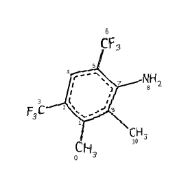 Cc1c(C(F)(F)F)cc(C(F)(F)F)c(N)c1C